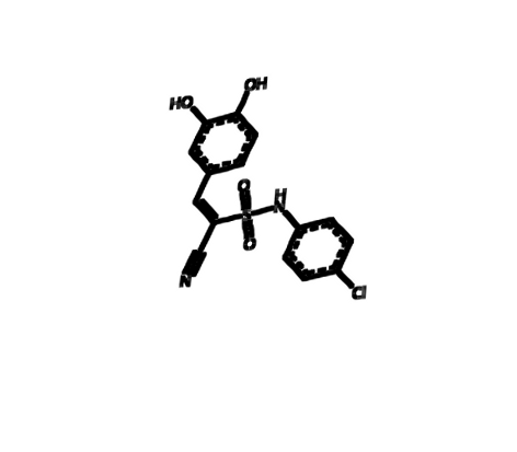 N#C/C(=C/c1ccc(O)c(O)c1)S(=O)(=O)Nc1ccc(Cl)cc1